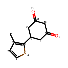 Cc1ccsc1C1CC(=O)CC(=O)C1